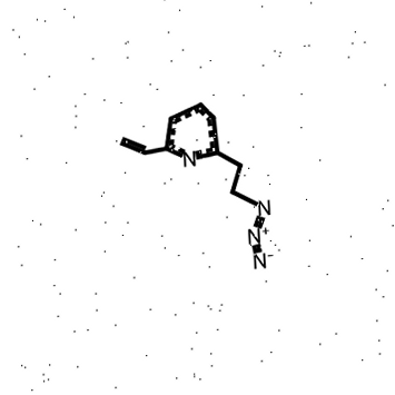 C=Cc1cccc(CCN=[N+]=[N-])n1